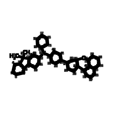 CC1(C)c2ccccc2-c2ccc(N(c3ccccc3)c3ccc(-c4ccc5c(c4)Oc4cccc6cccc-5c46)cc3)cc21